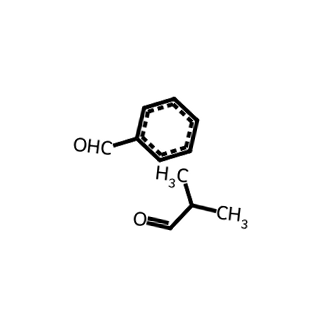 CC(C)C=O.O=Cc1ccccc1